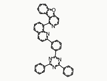 c1ccc(-c2nc(-c3ccccc3)nc(-c3cccc(-c4ccc5cccc(-c6nccc7oc8ccccc8c67)c5n4)c3)n2)cc1